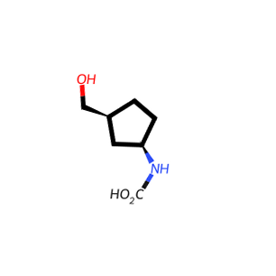 O=C(O)N[C@@H]1CC[C@H](CO)C1